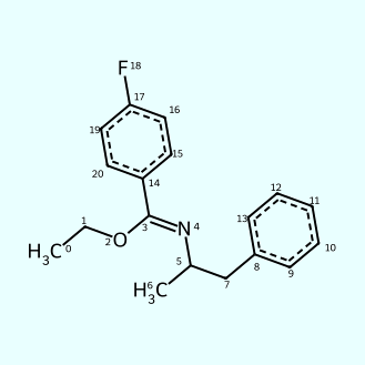 CCOC(=NC(C)Cc1ccccc1)c1ccc(F)cc1